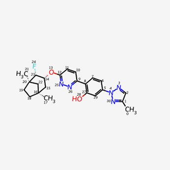 Cc1cnn(-c2ccc(-c3ccc(O[C@@H]4C[C@@]5(C)CC[C@](C)(C5)[C@@H]4F)nn3)c(O)c2)n1